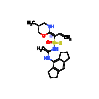 C=C/C(=C1\NCC(C)CO1)S(=O)(=S)NC(=C)Nc1c2c(cc3c1CCC3)CCC2